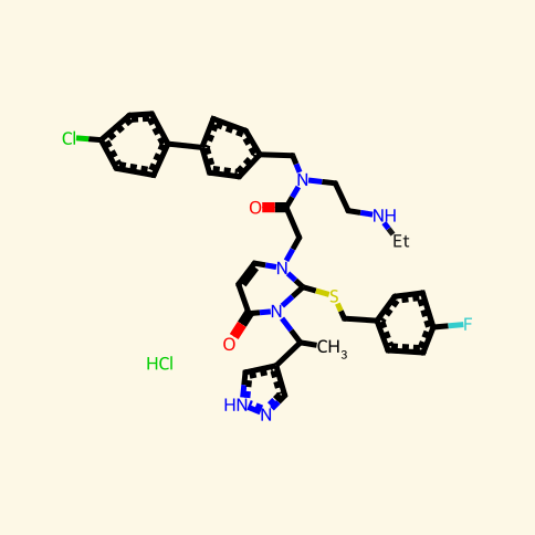 CCNCCN(Cc1ccc(-c2ccc(Cl)cc2)cc1)C(=O)CN1C=CC(=O)N(C(C)c2cn[nH]c2)C1SCc1ccc(F)cc1.Cl